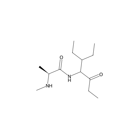 CCC(=O)C(NC(=O)[C@H](C)NC)C(CC)CC